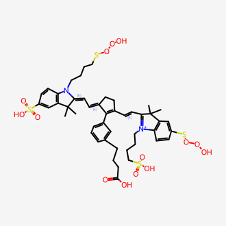 CC1(C)C(/C=C/C2=C(c3cccc(CCCC(=O)O)c3)C(=C/C=C3/N(CCCCSOOO)c4ccc(S(=O)(=O)O)cc4C3(C)C)/CC2)=[N+](CCCCS(=O)(=O)O)c2ccc(SOOO)cc21